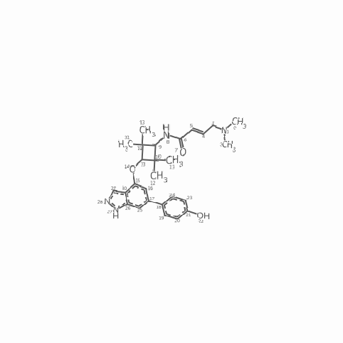 CN(C)C/C=C/C(=O)NC1C(C)(C)C(Oc2cc(-c3ccc(O)cc3)cc3[nH]ncc23)C1(C)C